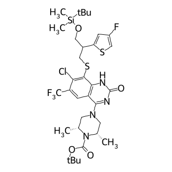 C[C@@H]1CN(c2nc(=O)[nH]c3c(SCC(CO[Si](C)(C)C(C)(C)C)c4cc(F)cs4)c(Cl)c(C(F)(F)F)cc23)C[C@H](C)N1C(=O)OC(C)(C)C